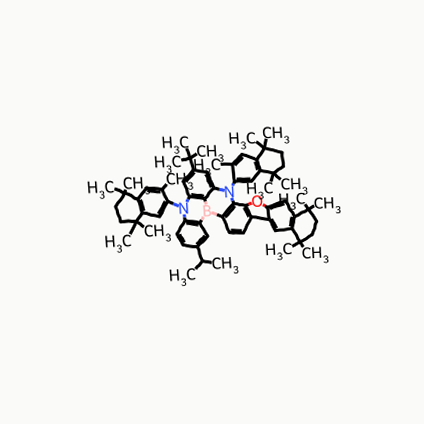 Cc1cc2c(cc1N1c3ccc(C(C)C)cc3B3c4ccc5c(oc6cc7c(cc65)C(C)(C)CCC7(C)C)c4N(c4cc5c(cc4C)C(C)(C)CCC5(C)C)c4cc(C(C)(C)C)cc1c43)C(C)(C)CCC2(C)C